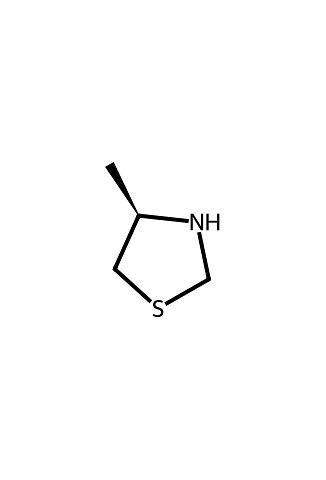 C[C@@H]1CSCN1